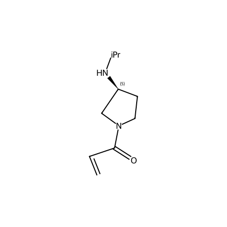 C=CC(=O)N1CC[C@H](NC(C)C)C1